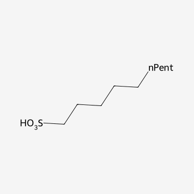 CC[CH]CCCCCCCS(=O)(=O)O